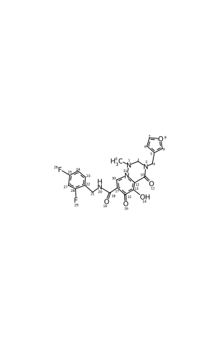 CN1CN(Cc2ccoc2)C(=O)c2c(O)c(=O)c(C(=O)NCc3ccc(F)cc3F)cn21